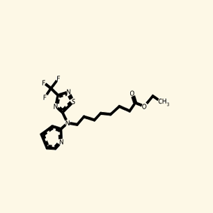 CCOC(=O)CCCCCCCN(c1ccccn1)c1nc(C(F)(F)F)ns1